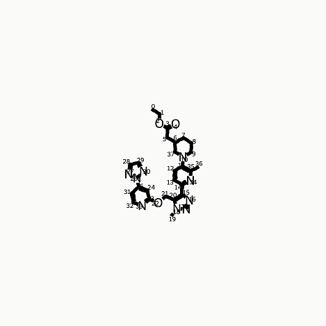 CCOC(=O)CC1CCCN(c2ccc(-c3nnn(C)c3COc3cc(-n4nccn4)ccn3)nc2C)C1